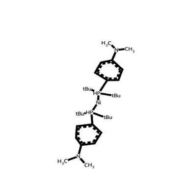 CN(C)c1ccc([PH]([Ni][PH](c2ccc(N(C)C)cc2)(C(C)(C)C)C(C)(C)C)(C(C)(C)C)C(C)(C)C)cc1